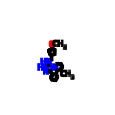 COc1ccc(CNc2nc(-c3ccccc3-c3ncccc3C)n[nH]2)cc1